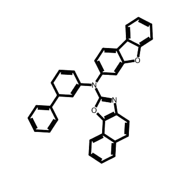 C1=CC(N(c2ccc3c(c2)oc2ccccc23)c2nc3ccc4ccccc4c3o2)=CC(c2ccccc2)C1